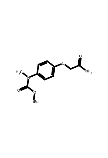 CN(C(=O)OC(C)(C)C)c1ccc(OCC(N)=O)cc1